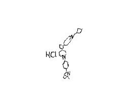 Cc1nc(-c2ccc(N3CCC(OC4CCN(C5CCC5)CC4)CC3)cc2)co1.Cl